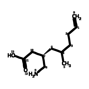 C=CCCC(C)C[C@H](CN)CC(=O)O